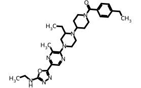 CCNc1nnc(-c2cnc(N3CCN(C4CCN(C(=O)c5ccc(CC)cc5)CC4)C(CC)C3)c(C)n2)o1